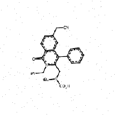 CC(C)Cn1c(CN(C(=O)O)C(C)(C)C)c(-c2ccccc2)c2cc(CC#N)ccc2c1=O